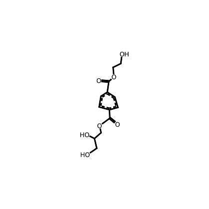 O=C(OCCO)c1ccc(C(=O)OCC(O)CO)cc1